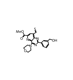 COC(=O)c1cc(C=S)c2nc(-c3cccc(CO)c3)nc(N3CCOCC3)c2n1